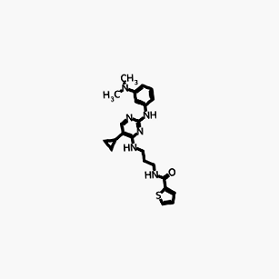 CN(C)c1cccc(Nc2ncc(C3CC3)c(NCCCNC(=O)c3cccs3)n2)c1